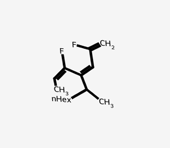 C=C(F)/C=C(\C(F)=C/C)C(C)CCCCCC